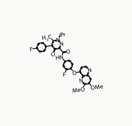 COc1cc2nccc(Oc3ccc(NC(=O)c4nn(C(C)C)c(C)c(-c5ccc(F)cc5)c4=O)cc3F)c2nc1OC